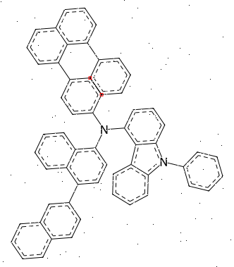 c1ccc(-c2cccc3cccc(-c4ccc(N(c5ccc(-c6ccc7ccccc7c6)c6ccccc56)c5cccc6c5c5ccccc5n6-c5ccccc5)cc4)c23)cc1